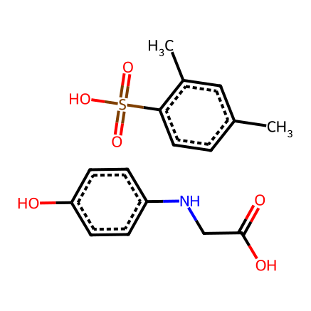 Cc1ccc(S(=O)(=O)O)c(C)c1.O=C(O)CNc1ccc(O)cc1